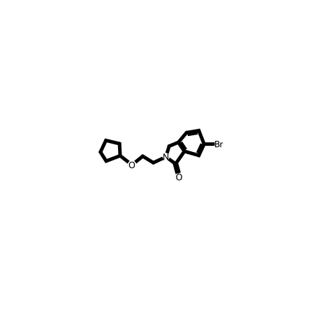 O=C1c2cc(Br)ccc2CN1CCOC1CCCC1